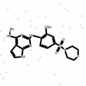 CC[C@H](C)Nc1nc(Nc2ccc(S(=O)(=O)N3CCOCC3)cc2OC)nc2[nH]ccc12